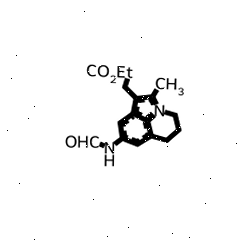 CCOC(=O)Cc1c(C)n2c3c(cc(NC=O)cc13)CCC2